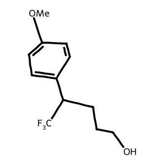 COc1ccc(C(CCCO)C(F)(F)F)cc1